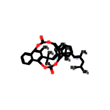 C/C=C\C(C)(C)c1c(C)c2c3ccccc3c1OC(=O)Oc1c(C(C)(C)C/C=C(\C)CC(C)C)c(C)c(c3ccccc13)OC(=O)O2